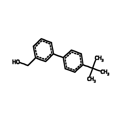 CC(C)(C)c1ccc(-c2cccc(CO)c2)cc1